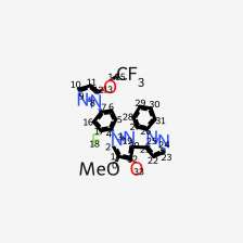 COc1cn(-c2ccc(-n3nccc3OCC(F)(F)F)cc2F)nc(-c2ccnn2-c2ccccc2)c1=O